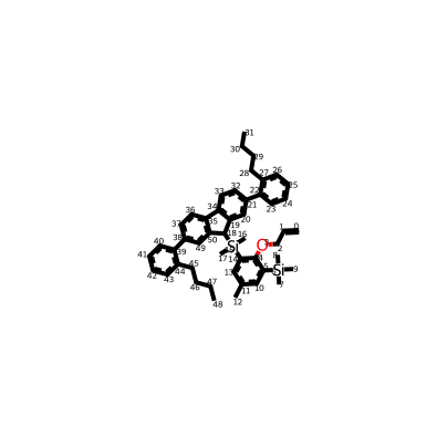 C=CCOc1c([Si](C)(C)C)cc(C)cc1[Si](C)(C)C1c2cc(-c3ccccc3CCCC)ccc2-c2ccc(-c3ccccc3CCCC)cc21